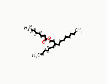 CCCCCCCCC(CCCCCC)CCOC(=O)CCCCCCC